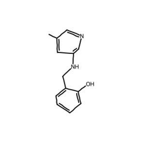 Cc1cncc(NCc2ccccc2O)c1